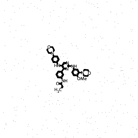 C=CC(=O)Nc1cccc(-c2nc(Nc3ccc(OC)c(N4CCOCC4)c3)ncc2Nc2ccc(N3CCOCC3)cc2)c1